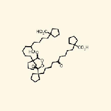 O=C(CCCCC1(C(=O)O)CCCC1)CCCCC1(C(=O)OOC(=O)C2(CCCCC(O)CCCCC3(C(=O)O)CCCC3)CCCC2)CCCC1